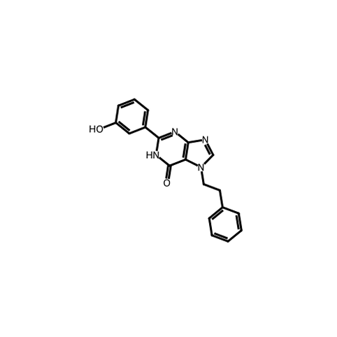 O=c1[nH]c(-c2cccc(O)c2)nc2ncn(CCc3ccccc3)c12